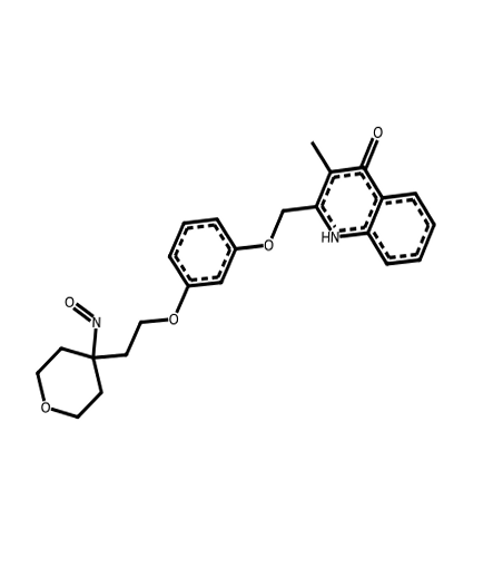 Cc1c(COc2cccc(OCCC3(N=O)CCOCC3)c2)[nH]c2ccccc2c1=O